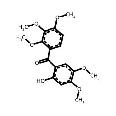 COc1cc(O)c(C(=O)c2ccc(OC)c(OC)c2OC)cc1OC